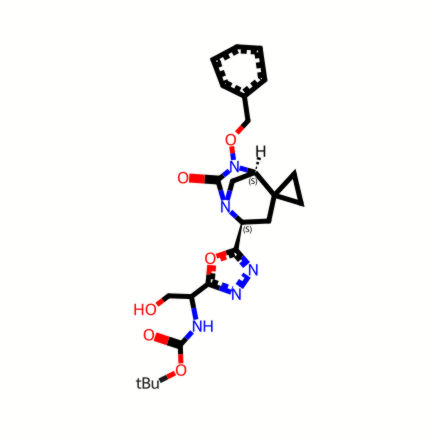 CC(C)(C)OC(=O)NC(CO)c1nnc([C@@H]2CC3(CC3)[C@H]3CN2C(=O)N3OCc2ccccc2)o1